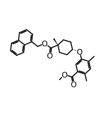 COC(=O)c1cc(O[C@H]2CC[C@@](C)(C(=O)OCc3cccc4ccccc34)CC2)c(C)cc1C